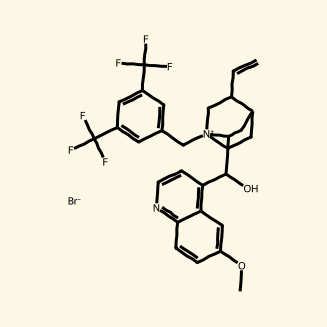 C=CC1C[N+]2(Cc3cc(C(F)(F)F)cc(C(F)(F)F)c3)CCC1CC2C(O)c1ccnc2ccc(OC)cc12.[Br-]